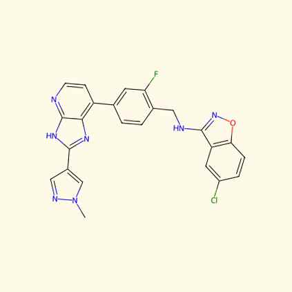 Cn1cc(-c2nc3c(-c4ccc(CNc5noc6ccc(Cl)cc56)c(F)c4)ccnc3[nH]2)cn1